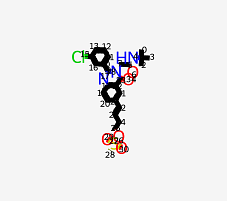 CC(C)(C)NC(=O)Cn1c(-c2cccc(Cl)c2)nc2ccc(C=CCCOS(C)(=O)=O)cc2c1=O